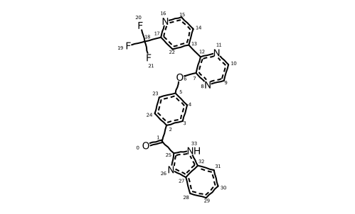 O=C(c1ccc(Oc2nccnc2-c2ccnc(C(F)(F)F)c2)cc1)c1nc2ccccc2[nH]1